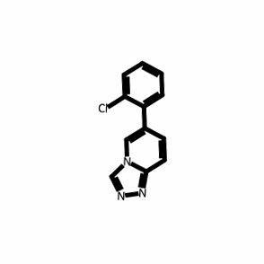 Clc1ccccc1-c1ccc2nncn2c1